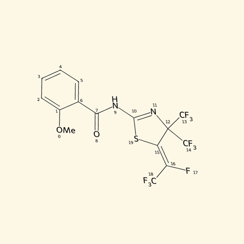 COc1ccccc1C(=O)NC1=NC(C(F)(F)F)(C(F)(F)F)C(=C(F)C(F)(F)F)S1